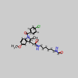 COc1ccc2c(c1)c(CC(=O)NCCCCCCNC=O)c(C)n2C(=O)c1ccc(Cl)cc1